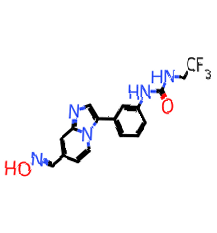 O=C(NCC(F)(F)F)Nc1cccc(-c2cnc3cc(C=NO)ccn23)c1